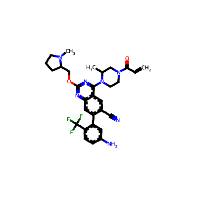 C=CC(=O)N1CCN(c2nc(OCC3CCCN3C)nc3cc(-c4cc(N)ccc4C(F)(F)F)c(C#N)cc23)C(C)C1